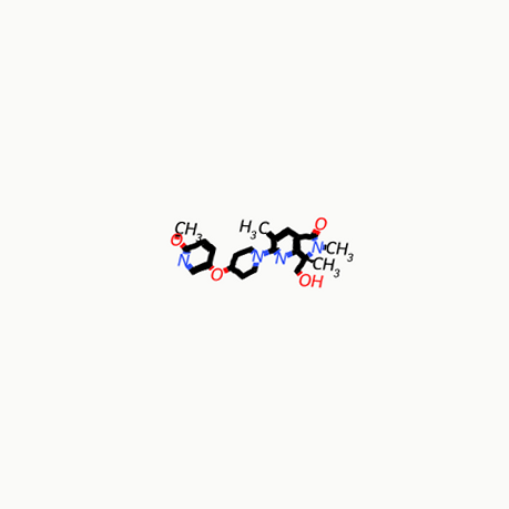 COc1ccc(OC2CCN(c3nc4c(cc3C)C(=O)N(C)[C@]4(C)CO)CC2)cn1